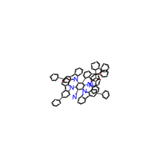 N#Cc1c(-n2c3ccccc3c3cc(-c4ccccc4)ccc32)c(-n2c3ccccc3c3cc(-c4ccccc4)ccc32)c(-c2cccc3c2-c2ncccc2C32c3ccccc3-c3ccccc32)c(-n2c3ccccc3c3cc(-c4ccccc4)ccc32)c1-n1c2ccccc2c2cc(-c3ccccc3)ccc21